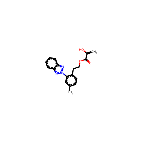 C=C(O)C(=O)OCCc1ccc(C)cc1-n1nc2ccccc2n1